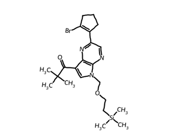 CC(C)(C)C(=O)c1cn(COCC[Si](C)(C)C)c2ncc(C3=C(Br)CCC3)nc12